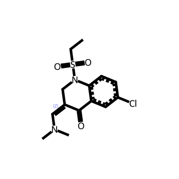 CCS(=O)(=O)N1C/C(=C/N(C)C)C(=O)c2cc(Cl)ccc21